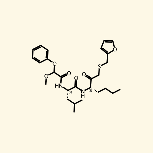 CCCC[C@H](NC(=O)[C@H](CC(C)C)NC(=O)C(OC)Oc1ccccc1)C(=O)CSCc1ccco1